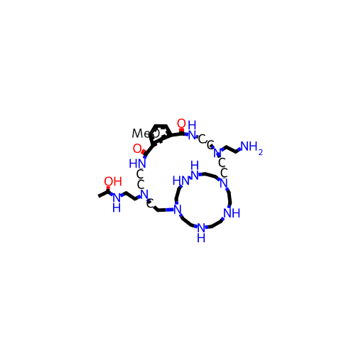 COc1c2cccc1C(=O)NCCN(CCNC(C)O)CCN1CCNCCNCCN(CCNNCC1)CCN(CCN)CCNC2=O